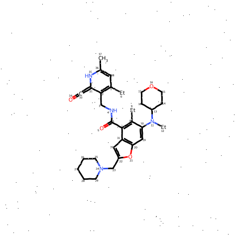 CCC1=C(CNC(=O)c2c(CC)c(N(CC)C3CCOCC3)cc3oc(CN4CCCCC4)cc23)C(=C=O)NC(C)=C1